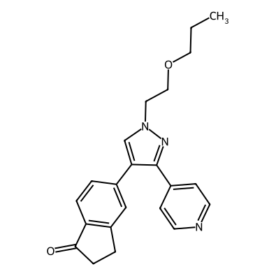 CCCOCCn1cc(-c2ccc3c(c2)CCC3=O)c(-c2ccncc2)n1